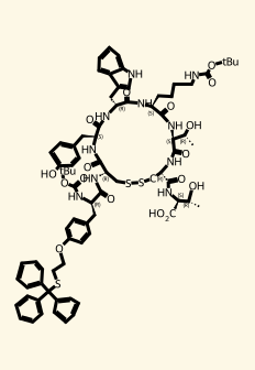 C[C@@H](O)[C@H](NC(=O)[C@@H]1CSSC[C@H](NC(=O)[C@@H](Cc2ccc(OCCSC(c3ccccc3)(c3ccccc3)c3ccccc3)cc2)NC(=O)OC(C)(C)C)C(=O)N[C@@H](Cc2ccc(O)cc2)C(=O)N[C@H](Cc2c[nH]c3ccccc23)C(=O)N[C@@H](CCCCNC(=O)OC(C)(C)C)C(=O)N[C@@H]([C@@H](C)O)C(=O)N1)C(=O)O